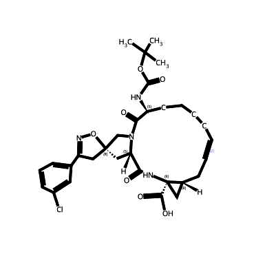 CC(C)(C)OC(=O)N[C@H]1CCCC/C=C\C[C@@H]2C[C@@]2(C(=O)O)NC(=O)[C@@H]2C[C@@]3(CC(c4cccc(Cl)c4)=NO3)CN2C1=O